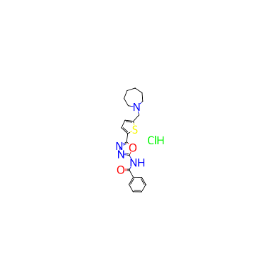 Cl.O=C(Nc1nnc(-c2ccc(CN3CCCCCC3)s2)o1)c1ccccc1